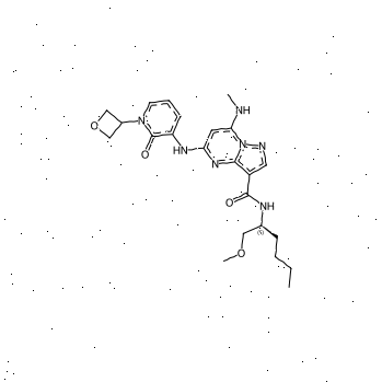 CCCC[C@@H](COC)NC(=O)c1cnn2c(NC)cc(Nc3cccn(C4COC4)c3=O)nc12